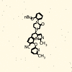 CCCCOc1ccccc1N1CCN(C(Cc2ccc(C#N)c(Oc3cccc(C)n3)c2)c2cnc(C)[nH]2)CC1=O